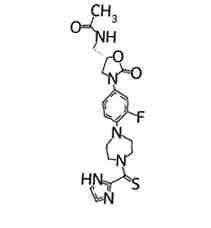 CC(=O)NC[C@H]1CN(c2ccc(N3CCN(C(=S)c4ncc[nH]4)CC3)c(F)c2)C(=O)O1